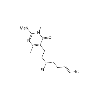 CCC=CCCC(CC)CCc1c(C)nc(NC)n(C)c1=O